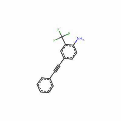 Nc1ccc(C#Cc2ccccc2)cc1C(F)(F)F